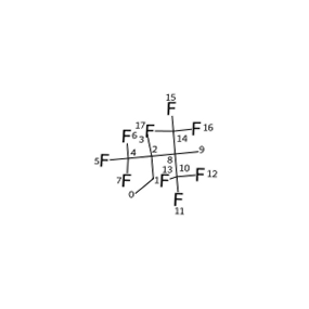 CCC(C)(C(F)(F)F)C(C)(C(F)(F)F)C(F)(F)F